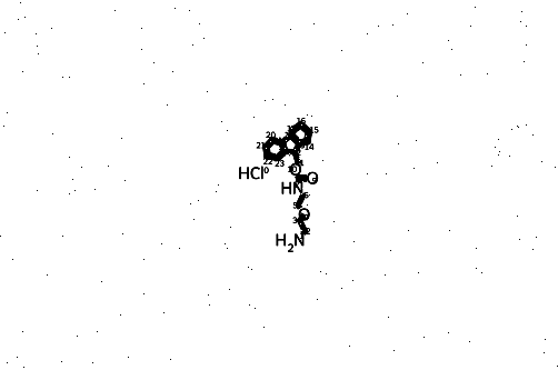 Cl.NCCOCCNC(=O)OCC1c2ccccc2-c2ccccc21